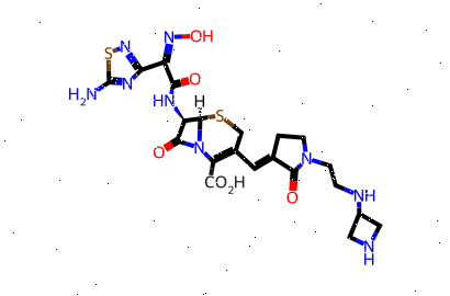 Nc1nc(/C(=N/O)C(=O)N[C@@H]2C(=O)N3C(C(=O)O)=C(/C=C4\CCN(CCNC5CNC5)C4=O)CS[C@H]23)ns1